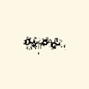 Cc1c(C(=O)Nc2ccc(Oc3ccnc(C(N)=O)c3Cl)c(F)c2)c(=O)n(-c2ccccc2)n1C